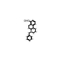 O=Cc1cccc2c1CCC1C2CCCN1Cc1ccccc1